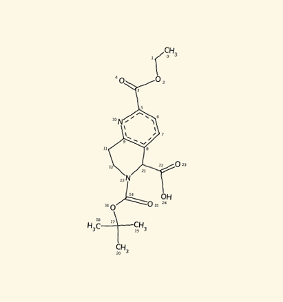 CCOC(=O)c1ccc2c(n1)CCN(C(=O)OC(C)(C)C)C2C(=O)O